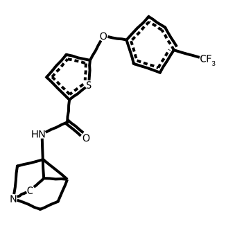 O=C(NC1CN2CCC1CC2)c1ccc(Oc2ccc(C(F)(F)F)cc2)s1